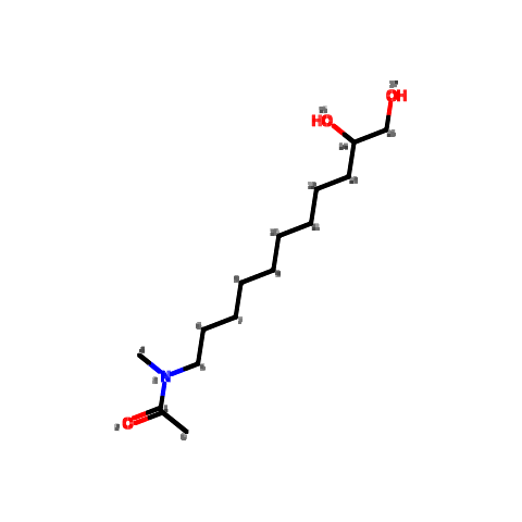 CC(=O)N(C)CCCCCCCCCC(O)CO